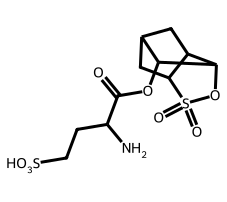 NC(CCS(=O)(=O)O)C(=O)OC1C2CC3C1OS(=O)(=O)C3C2